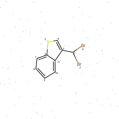 BrC(Br)c1csc2ccccc12